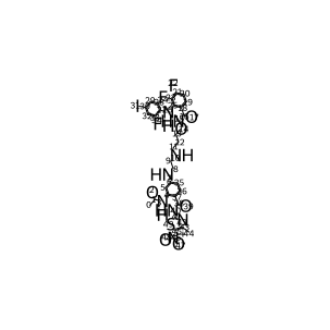 CC(=O)Nc1cc(NCCNCCCONC(=O)c2ccc(F)c(F)c2Nc2ccc(I)cc2F)ccc1C(=O)Nc1nc(C)c([N+](=O)[O-])s1